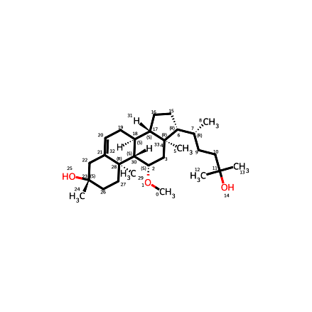 CO[C@H]1C[C@]2(C)[C@@H]([C@H](C)CCC(C)(C)O)CC[C@H]2[C@@H]2CC=C3C[C@@](C)(O)CC[C@]3(C)[C@H]21